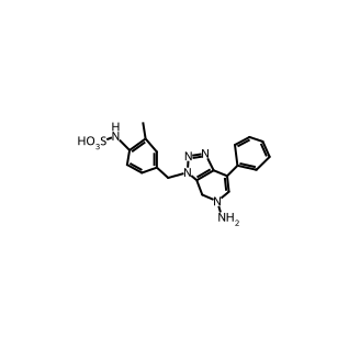 Cc1cc(Cn2nnc3c2CN(N)C=C3c2ccccc2)ccc1NS(=O)(=O)O